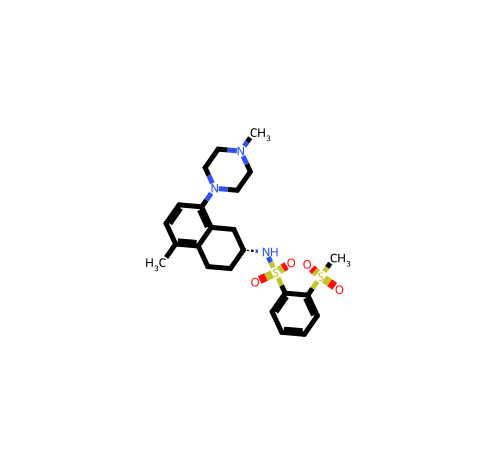 Cc1ccc(N2CCN(C)CC2)c2c1CC[C@@H](NS(=O)(=O)c1ccccc1S(C)(=O)=O)C2